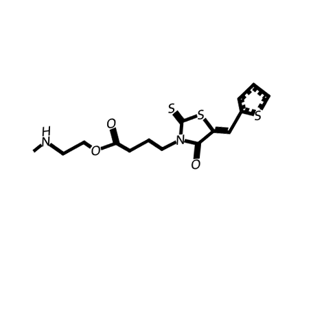 CNCCOC(=O)CCCN1C(=O)/C(=C/c2cccs2)SC1=S